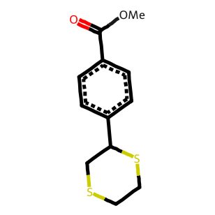 COC(=O)c1ccc(C2CSCCS2)cc1